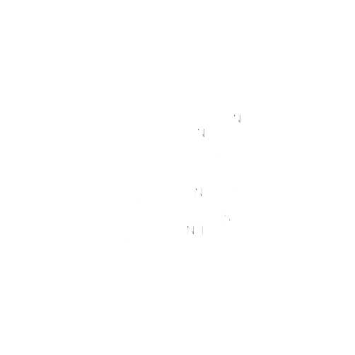 Cc1cccc(Nc2nc(-c3cnc4ccccn34)cs2)c1